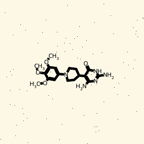 COc1cc(N2CCC(c3c(N)nc(N)[nH]c3=O)CC2)cc(OC)c1OC